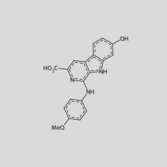 COc1ccc(Nc2nc(C(=O)O)cc3c2[nH]c2cc(O)ccc23)cc1